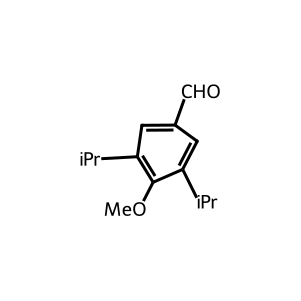 COc1c(C(C)C)cc(C=O)cc1C(C)C